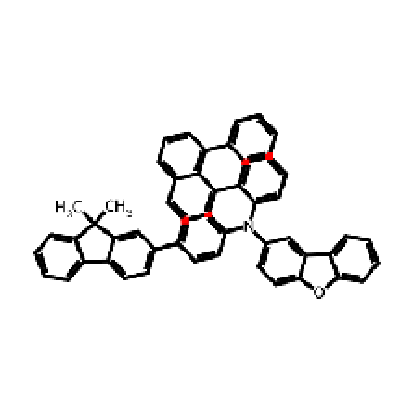 CC1(C)c2ccccc2-c2ccc(-c3ccc(N(c4ccc5oc6ccccc6c5c4)c4ccccc4-c4cccc5cccc(-c6ccccc6)c45)cc3)cc21